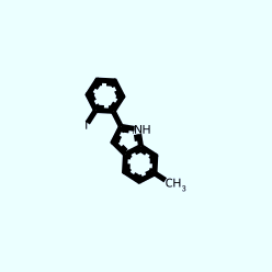 Cc1ccc2cc(-c3ccccc3I)[nH]c2c1